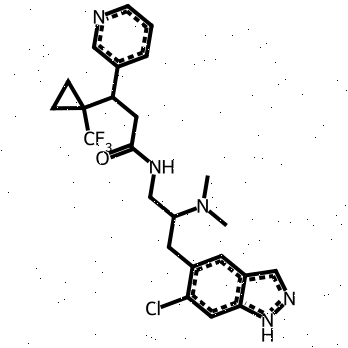 CN(C)C(CNC(=O)CC(c1cccnc1)C1(C(F)(F)F)CC1)Cc1cc2cn[nH]c2cc1Cl